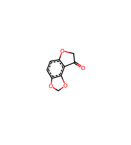 O=C1COc2ccc3c(c21)OCO3